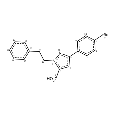 CC(C)(C)c1ccc(-c2cc(C(=O)O)n(CCc3ccccc3)n2)cc1